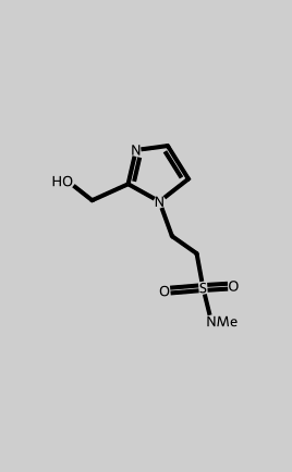 CNS(=O)(=O)CCn1ccnc1CO